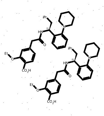 CCOc1cc(CC(=O)N[C@@H](CC(C)C)c2ccccc2N2CCCCC2)ccc1C(=O)O.CCOc1cc(CC(=O)N[C@@H](CC(C)C)c2ccccc2N2CCCCC2)ccc1C(=O)O